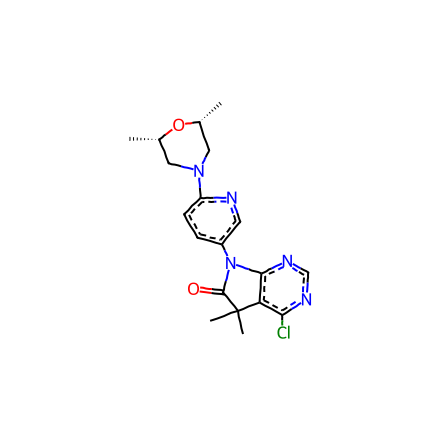 C[C@@H]1CN(c2ccc(N3C(=O)C(C)(C)c4c(Cl)ncnc43)cn2)C[C@H](C)O1